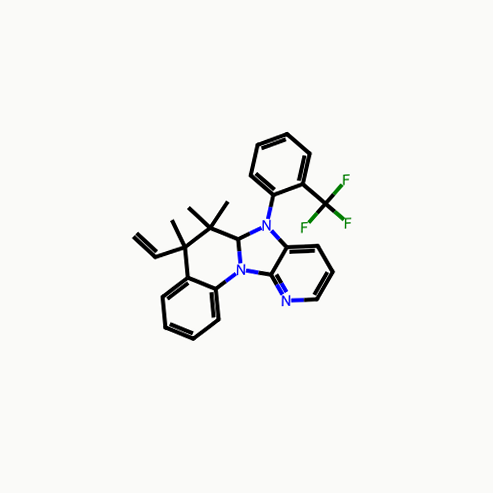 C=CC1(C)c2ccccc2N2c3ncccc3N(c3ccccc3C(F)(F)F)C2C1(C)C